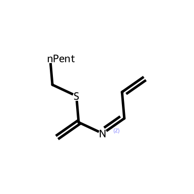 C=C/C=N\C(=C)SCCCCCC